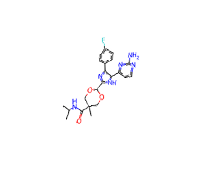 CC(C)NC(=O)C1(C)COC(c2nc(-c3ccc(F)cc3)c(-c3ccnc(N)n3)[nH]2)OC1